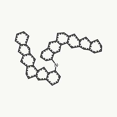 c1ccc2cc3cc4c(ccc5cc6cccc([N]c7cccc8cc9ccc%10cc%11cc%12ccccc%12cc%11cc%10c9cc78)c6cc54)cc3cc2c1